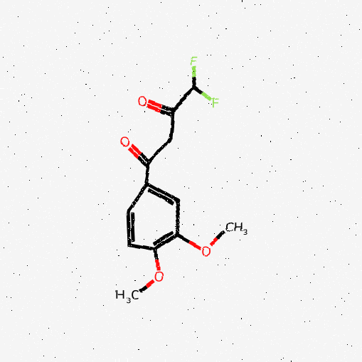 COc1ccc(C(=O)CC(=O)C(F)F)cc1OC